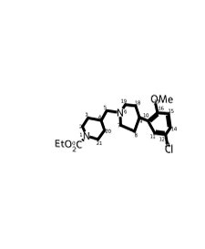 CCOC(=O)N1CCC(CN2CCC(c3cc(Cl)ccc3OC)CC2)CC1